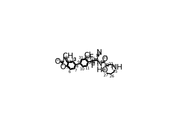 Cn1c(=O)oc2ccc(-c3ccc(C(F)(F)[C@@H](C#N)NC(=O)[C@@H]4CNCCCO4)c(Cl)c3)cc21